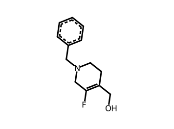 OCC1=C(F)CN(Cc2ccccc2)CC1